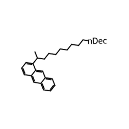 CCCCCCCCCCCCCCCCCCC(C)c1cccc2cc3ccccc3cc12